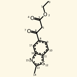 CCOC(=O)CC(=O)c1ccc2sc(C)nc2c1